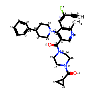 C#C/C(F)=C\c1c(C)ncc(C(=O)N2CCN(C(=O)C3CC3)CC2)c1N1CCC(c2ccccc2)CC1